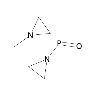 CN1CC1.O=PN1CC1